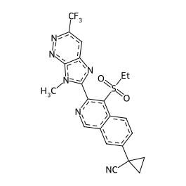 CCS(=O)(=O)c1c(-c2nc3cc(C(F)(F)F)nnc3n2C)ncc2cc(C3(C#N)CC3)ccc12